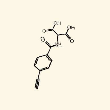 [C]#Cc1ccc(C(=O)NC(C(=O)O)C(=O)O)cc1